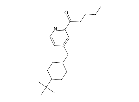 CCCCC(=O)c1cc(CC2CCC(C(C)(C)C)CC2)ccn1